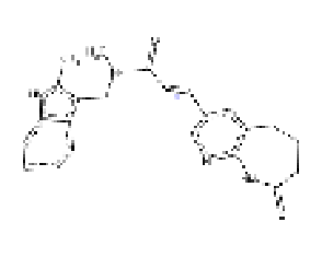 Cc1[nH]c2ccccc2c1CN(C)C(=O)/C=C/c1cnc2c(c1)CCCC(=O)N2